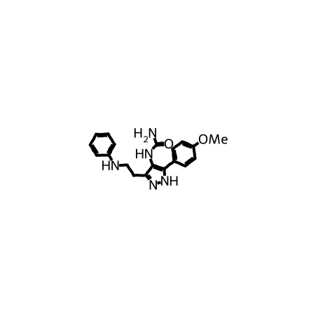 COc1ccc(-c2[nH]nc(CCNc3ccccc3)c2NC(N)=O)cc1